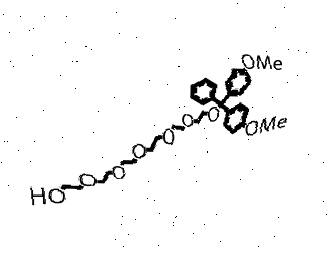 COc1ccc(C(OCCOCCOCCOCCOCCOCCO)(c2ccccc2)c2ccc(OC)cc2)cc1